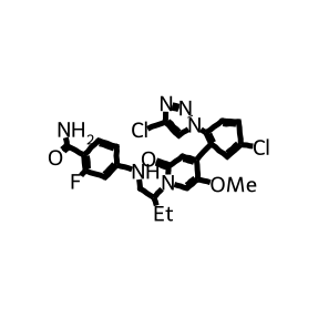 CCC(CNc1ccc(C(N)=O)c(F)c1)n1cc(OC)c(-c2cc(Cl)ccc2-n2cc(Cl)nn2)cc1=O